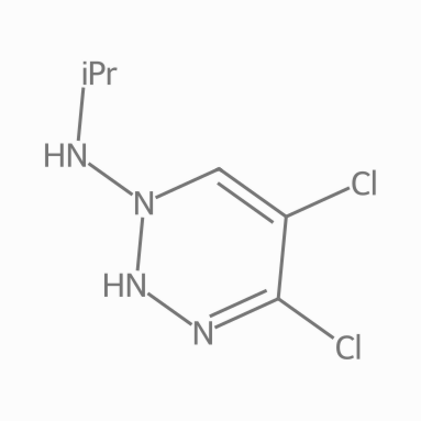 CC(C)NN1C=C(Cl)C(Cl)=NN1